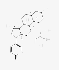 C[C@]12CC[C@H](O)C[C@H]1CC[C@@H]1[C@@H]2CC[C@]2(C)[C@@H](c3ccc(=O)oc3)C[C@H]3O[C@]132.N[C@@H](CC(=O)O)C(=O)O